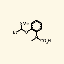 CCC(Oc1ccccc1N(C)C(=O)O)SC